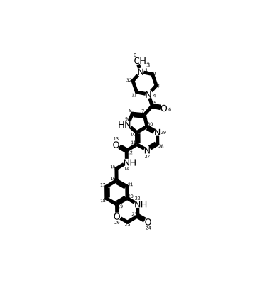 CN1CCN(C(=O)c2c[nH]c3c(C(=O)NCc4ccc5c(c4)NC(=O)CO5)ncnc23)CC1